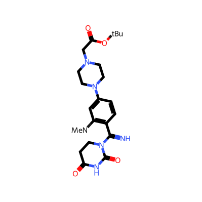 CNc1cc(N2CCN(CC(=O)OC(C)(C)C)CC2)ccc1C(=N)N1CCC(=O)NC1=O